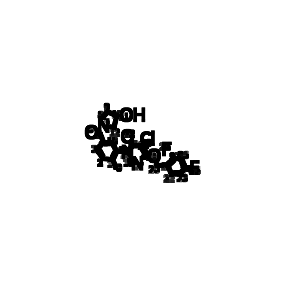 Cc1ccc(C(=O)N2CC[C@@H](O)C2)cc1-n1cnc(OCc2ccc(F)cc2F)c(Cl)c1=O